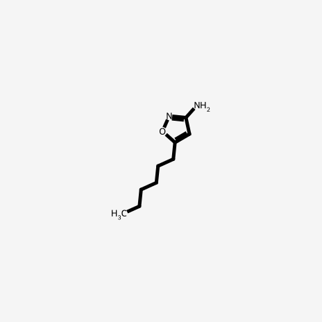 CCCCCCc1cc(N)no1